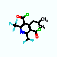 CC(C)Cc1c(C(=O)Cl)c(C(F)F)nc(C(F)(F)F)c1C(=O)Cl